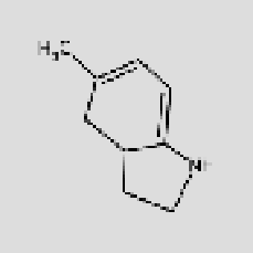 CC1=CC=C2NCCC2C1